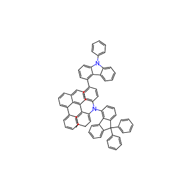 CC1C=C(c2cccc3cccc(-c4ccccc4)c23)C(N(c2ccc(-c3cccc4c3c3ccccc3n4-c3ccccc3)cc2)c2cccc3c2-c2ccccc2C3(c2ccccc2)c2ccccc2)=CC1